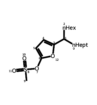 CCCCCCCC(CCCCCC)c1ccc(OS(C)(=O)=O)o1